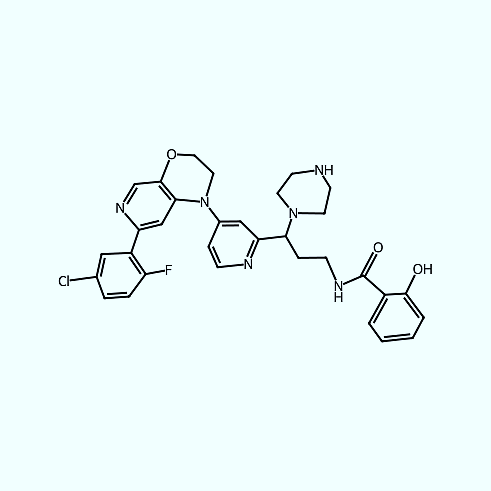 O=C(NCCC(c1cc(N2CCOc3cnc(-c4cc(Cl)ccc4F)cc32)ccn1)N1CCNCC1)c1ccccc1O